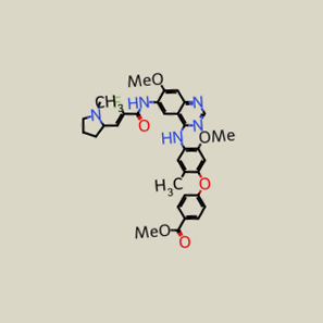 COC(=O)c1ccc(Oc2cc(OC)c(Nc3ncnc4cc(OC)c(NC(=O)C(F)=CC5CCCN5C)cc34)cc2C)cc1